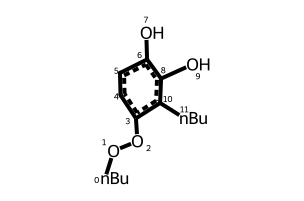 CCCCOOc1ccc(O)c(O)c1CCCC